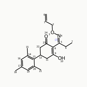 C=CCO/N=C(/CC)C1=C(O)CC(c2c(C)cc(C)cc2C)CC1=O